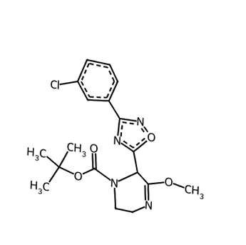 COC1=NCCN(C(=O)OC(C)(C)C)C1c1nc(-c2cccc(Cl)c2)no1